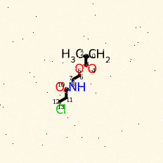 C=C(C)C(=O)OCCNC(=O)CCCl